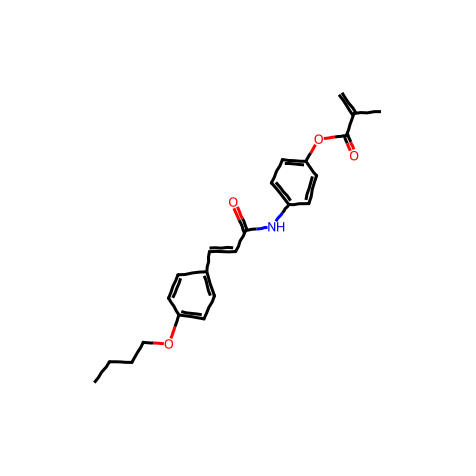 C=C(C)C(=O)Oc1ccc(NC(=O)C=Cc2ccc(OCCCC)cc2)cc1